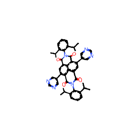 CC(C)c1cccc(C(C)C)c1N1C(=O)c2cc(-c3cncnc3)c3c4c(cc(-c5cncnc5)c(c24)C1=O)C(=O)N(c1c(C(C)C)cccc1C(C)C)C3=O